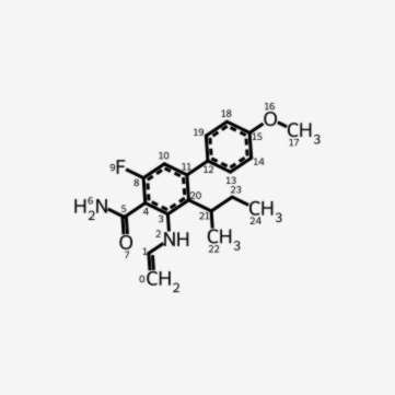 C=CNc1c(C(N)=O)c(F)cc(-c2ccc(OC)cc2)c1C(C)CC